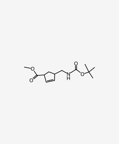 COC(=O)C1C=CC(CNC(=O)OC(C)(C)C)C1